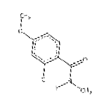 COc1ccc(C(=O)N(C)I)c(Cl)c1